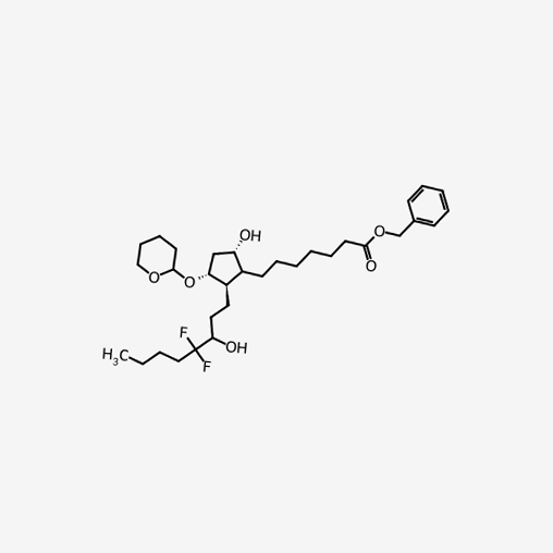 CCCCC(F)(F)C(O)CC[C@@H]1C(CCCCCCC(=O)OCc2ccccc2)[C@@H](O)C[C@H]1OC1CCCCO1